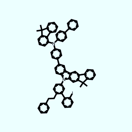 CC1(C)c2ccccc2-c2cc3c4cc(-c5ccc(N(c6ccc(-c7ccccc7)cc6)c6cccc7c6-c6ccccc6C7(C)C)cc5)ccc4n(-c4ccc(CCc5ccccc5)c(-c5ccccc5I)c4)c3cc21